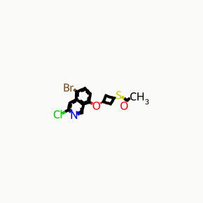 CC(=O)S[C@H]1C[C@@H](Oc2ccc(Br)c3cc(Cl)ncc23)C1